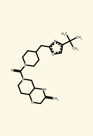 C=C1COC2CCN(C(=O)N3CCC(Cc4nc(C(C)(C)C)co4)CC3)CC2N1